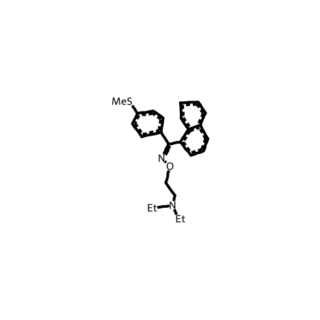 CCN(CC)CCO/N=C(/c1ccc(SC)cc1)c1cccc2ccccc12